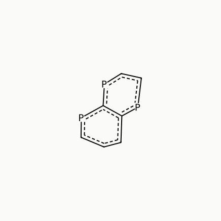 c1cpc2pccpc2c1